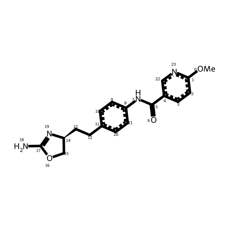 COc1ccc(C(=O)Nc2ccc(CC[C@H]3COC(N)=N3)cc2)cn1